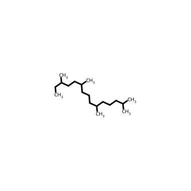 CCC(C)CCC(C)CCCC(C)CCCC(C)C